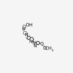 COCCOc1ccc2c(c1)ncn2-c1ccc2cc(N3CCC(CN4CCC(O)C4)CC3)ccc2n1